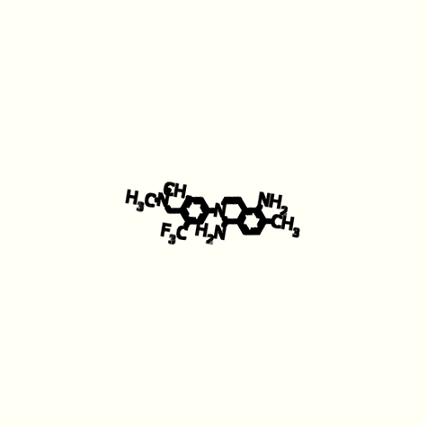 Cc1ccc2c(c1N)C=CN(c1ccc(CN(C)C)c(C(F)(F)F)c1)C2N